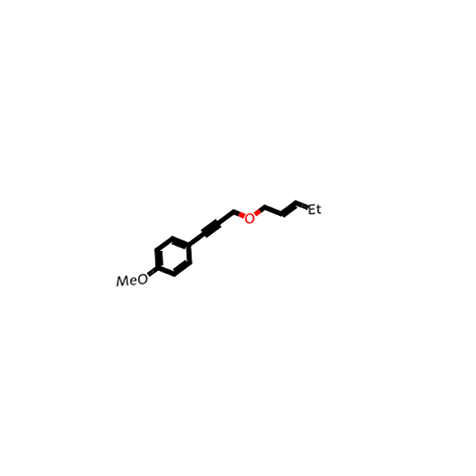 CCC=CCOCC#Cc1ccc(OC)cc1